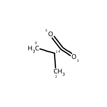 CCC.O=C=O